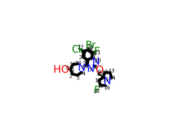 OC1CCCN(c2nc(OC[C@@]34CCCN3C[C@H](F)C4)nc3c(F)c(Br)c(Cl)cc23)CC1